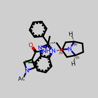 CC(=O)N1CC(C(=O)N[C@@H](CCN2[C@@H]3CC[C@H]2C[C@H](n2c(C)nc4c(F)cccc42)C3)c2ccccc2)C1